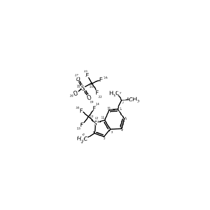 Cc1cc2ccc(C(C)C)cc2[s+]1C(F)(F)F.O=S(=O)([O-])C(F)(F)F